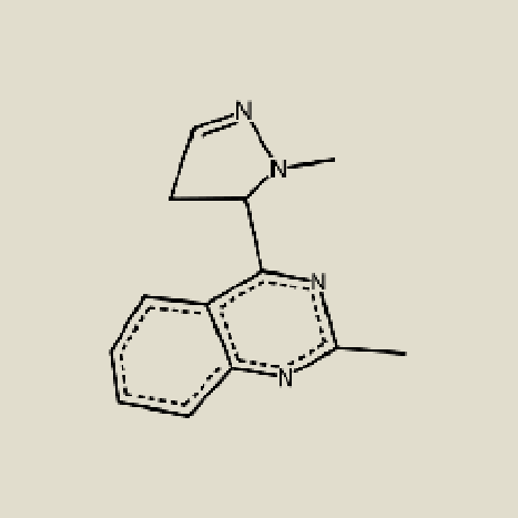 Cc1nc(C2CC=NN2C)c2ccccc2n1